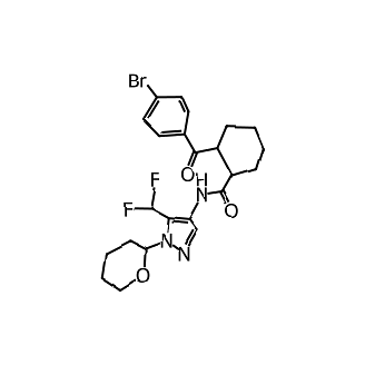 O=C(Nc1cnn(C2CCCCO2)c1C(F)F)C1CCCCC1C(=O)c1ccc(Br)cc1